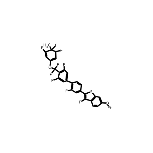 CCOc1ccc2c(F)c(-c3ccc(-c4cc(F)c(C(F)(F)OC5=CC(F)C(C)(F)C(F)=C5)c(F)c4)c(F)c3)sc2c1